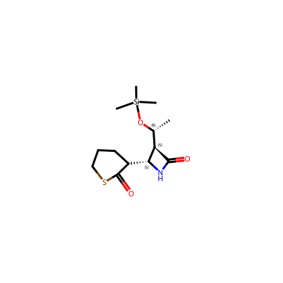 C[C@@H](O[Si](C)(C)C)[C@H]1C(=O)N[C@@H]1C1CCCSC1=O